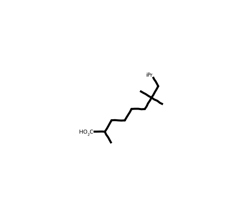 CC(C)CC(C)(C)CCCCC(C)C(=O)O